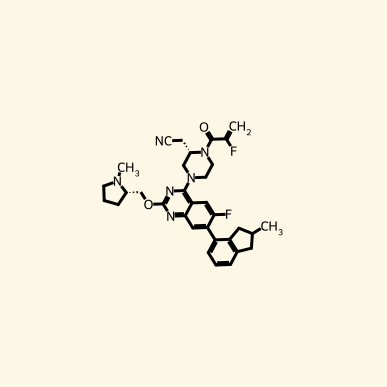 C=C(F)C(=O)N1CCN(c2nc(OC[C@@H]3CCCN3C)nc3cc(-c4cccc5c4CC(C)C5)c(F)cc23)C[C@@H]1CC#N